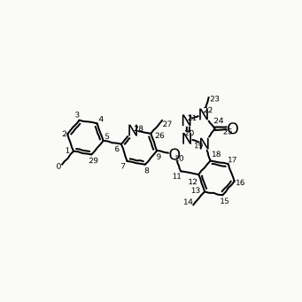 Cc1cccc(-c2ccc(OCc3c(C)cccc3-n3nnn(C)c3=O)c(C)n2)c1